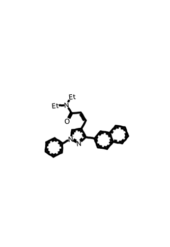 CCN(CC)C(=O)/C=C\c1cn(-c2ccccc2)nc1-c1ccc2ccccc2c1